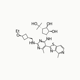 CCO[C@H]1C[C@@H](CNc2nc(C)c(-c3nc4c(C)nccc4s3)c(N[C@@H]3C[C@H](C(C)(C)O)[C@@H](O)[C@H]3O)n2)C1